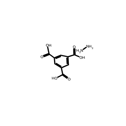 NN.O=C(O)c1cc(C(=O)O)cc(C(=O)O)c1